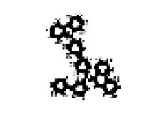 c1ccc(-c2cccc(N(c3ccc(-c4ccc(-n5c6ccccc6c6ccccc65)cc4)cc3)c3cc4ccccc4c4ccccc34)c2)cc1